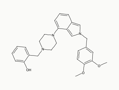 COc1ccc(Cn2cc3cccc(N4CCN(Cc5ccccc5O)CC4)c3c2)cc1OC